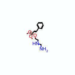 CO[Si](C=Cc1ccccc1)(OC)OCCNCN